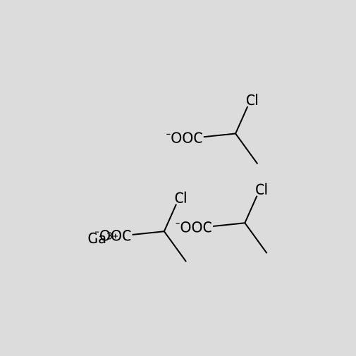 CC(Cl)C(=O)[O-].CC(Cl)C(=O)[O-].CC(Cl)C(=O)[O-].[Ga+3]